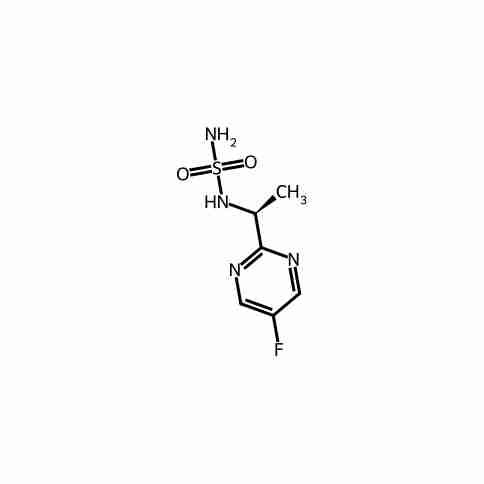 C[C@H](NS(N)(=O)=O)c1ncc(F)cn1